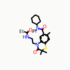 CCC(=O)NCCN1C(=O)C(C)(C)Sc2cc(C)c(C(=O)N(C(C)C)C3CCCCC3)cc21